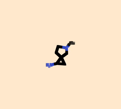 CC(C)(C)N1CCC2(CC2N)C1